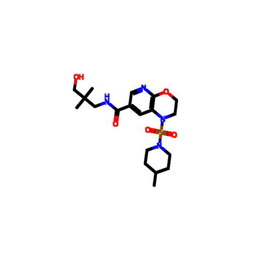 CC1CCN(S(=O)(=O)N2CCOc3ncc(C(=O)NCC(C)(C)CO)cc32)CC1